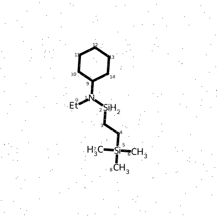 CCN([SiH2]CC[Si](C)(C)C)C1CCCCC1